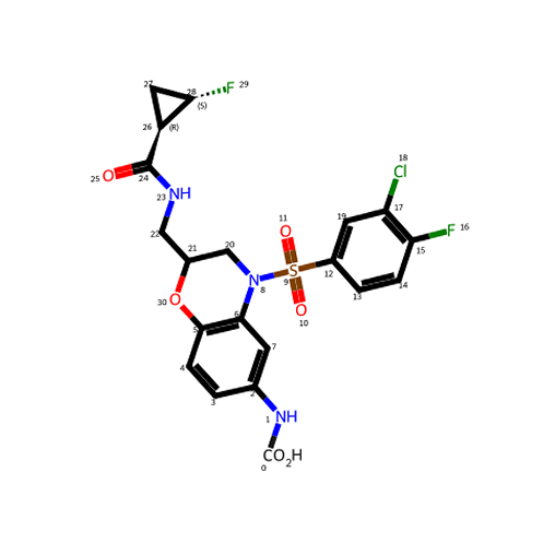 O=C(O)Nc1ccc2c(c1)N(S(=O)(=O)c1ccc(F)c(Cl)c1)CC(CNC(=O)[C@H]1C[C@@H]1F)O2